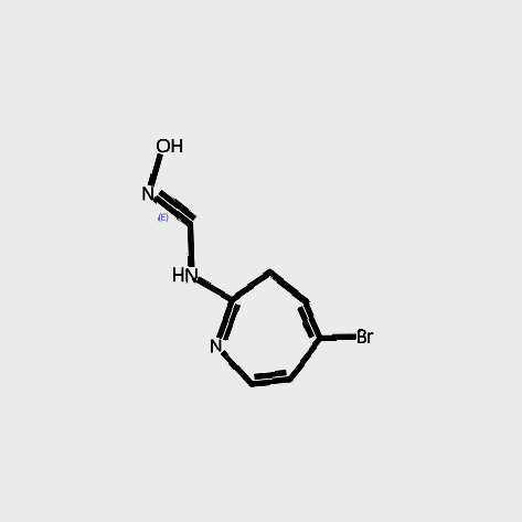 O/N=C/NC1=NC=CC(Br)=CC1